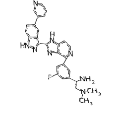 CN(C)CC(N)c1cc(F)cc(-c2nccc3[nH]c(-c4n[nH]c5ccc(-c6cccnc6)cc45)nc23)c1